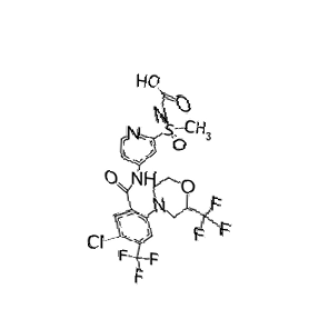 CS(=O)(=NC(=O)O)c1cc(NC(=O)c2cc(Cl)c(C(F)(F)F)cc2N2CCOC(C(F)(F)F)C2)ccn1